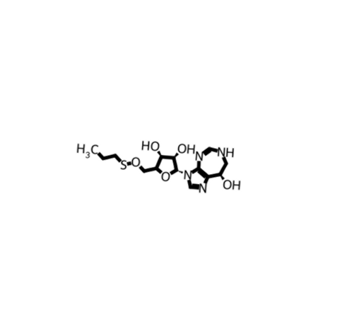 CCCSOCC1O[C@@H](n2cnc3c2N=CNC[C@H]3O)[C@H](O)[C@@H]1O